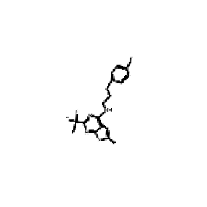 Cc1cc2c(NCCCc3ccc(F)cc3)nc(C(F)(F)F)nc2s1